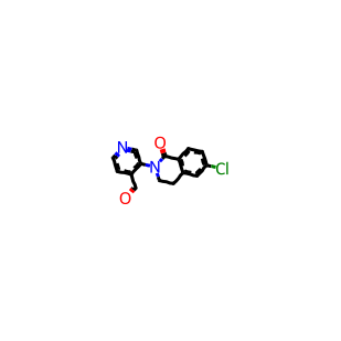 O=Cc1ccncc1N1CCc2cc(Cl)ccc2C1=O